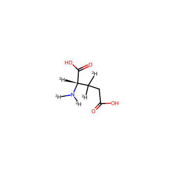 [2H]N([2H])[C@]([2H])(C(=O)O)C([2H])([2H])CC(=O)O